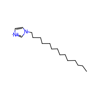 CCCCCCCCCCCCCCN1C=C[N+]=C1